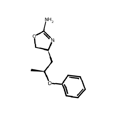 C[C@@H](C[C@H]1COC(N)=N1)Oc1ccccc1